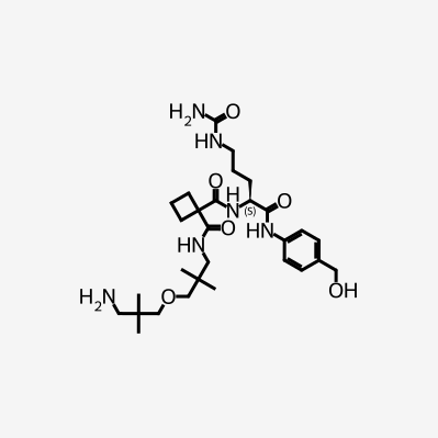 CC(C)(CN)COCC(C)(C)CNC(=O)C1(C(=O)N[C@@H](CCCNC(N)=O)C(=O)Nc2ccc(CO)cc2)CCC1